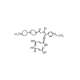 CCOc1ccc(C(=O)N(CC(=O)N2CCN(C3CCN(C)CC3)CC2)C2CC2)cc1.O=C(O)/C=C/C(=O)O.O=C(O)/C=C/C(=O)O